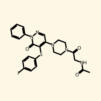 CC(=O)NCC(=O)N1CCN(c2cnn(-c3ccccc3)c(=O)c2Sc2ccc(I)cc2)CC1